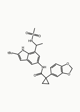 CC(NS(C)(=O)=O)c1cc(NC(=O)C2(c3ccc4c(c3)OCO4)CC2)cc2cc(C(C)(C)C)[nH]c12